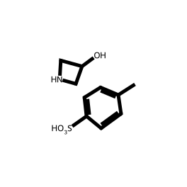 Cc1ccc(S(=O)(=O)O)cc1.OC1CNC1